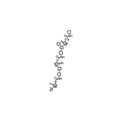 CCCn1c(SCC(=O)Nc2ccc(-c3ccc(-c4nnc(SC(F)C(=O)Nc5ccccc5)n4C(C)c4ccccc4)s3)cc2)nnc1-c1ccc(-c2ccc(NC(=O)CSc3nnc(-c4cccs4)n3C3CC3)cc2)s1